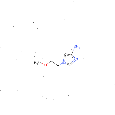 COCCn1cnc(N)c1